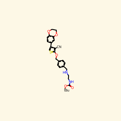 CC(C)(C)OC(=O)NCCNCc1ccc(COc2scc(-c3ccc4c(c3)OCCO4)c2C#N)cc1